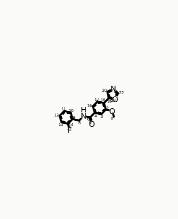 COc1cc(C(=O)NCc2ccccc2F)ccc1-c1cnco1